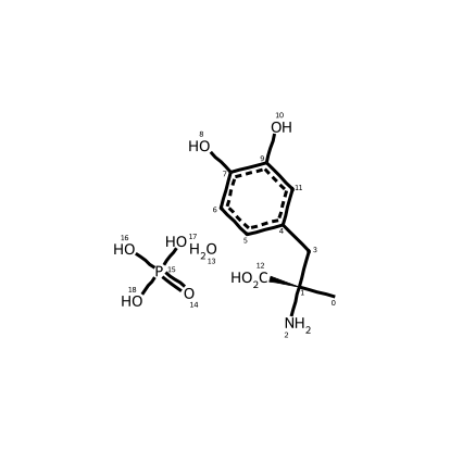 C[C@](N)(Cc1ccc(O)c(O)c1)C(=O)O.O.O=P(O)(O)O